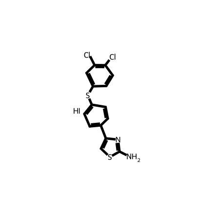 I.Nc1nc(-c2ccc(Sc3ccc(Cl)c(Cl)c3)cc2)cs1